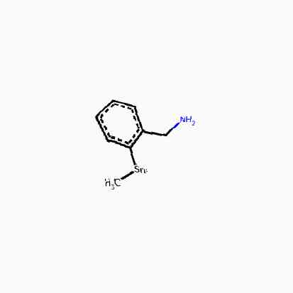 [CH3][Sn][c]1ccccc1CN